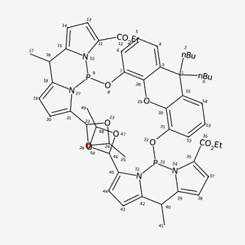 CCCCC1(CCCC)c2cccc(OP3n4c(C(=O)OCC)ccc4C(C)c4ccc(C5OC(C)O5)n43)c2Oc2c(OP3n4c(C(=O)OCC)ccc4C(C)c4ccc(C5OC(C)O5)n43)cccc21